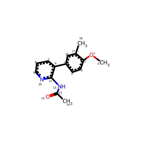 COc1ccc(-c2cccnc2NC(C)=O)cc1C